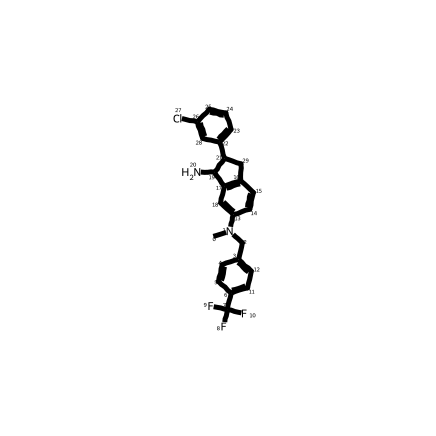 CN(Cc1ccc(C(F)(F)F)cc1)c1ccc2c(c1)C(N)C(c1cccc(Cl)c1)C2